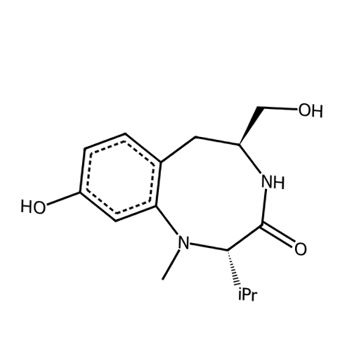 CC(C)[C@H]1C(=O)N[C@H](CO)Cc2ccc(O)cc2N1C